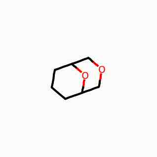 C1CC2COCC(C1)O2